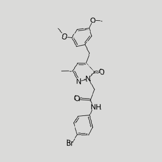 COc1cc(Cc2cc(C)nn(CC(=O)Nc3ccc(Br)cc3)c2=O)cc(OC)c1